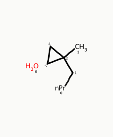 CCCCC1(C)CC1.O